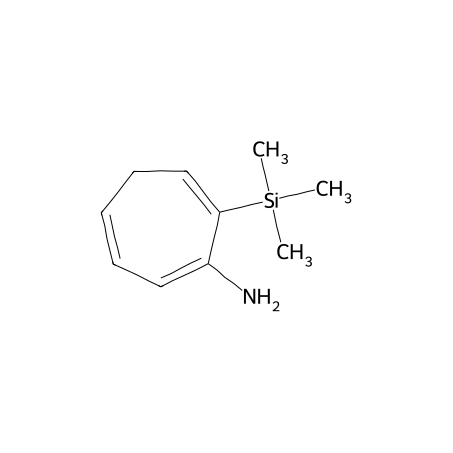 C[Si](C)(C)C1=CCC=CC=C1N